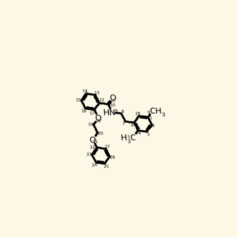 Cc1ccc(C)c(CCNC(=O)c2ccccc2OCCOc2ccccc2)c1